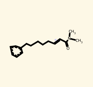 CN(C)C(=O)/C=C/CCCCCc1ccccc1